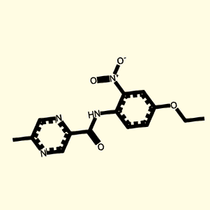 CCOc1ccc(NC(=O)c2cnc(C)cn2)c([N+](=O)[O-])c1